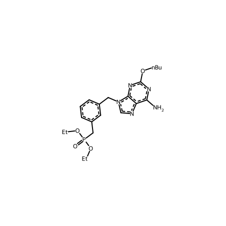 CCCCOc1nc(N)c2ncn(Cc3cccc(CP(=O)(OCC)OCC)c3)c2n1